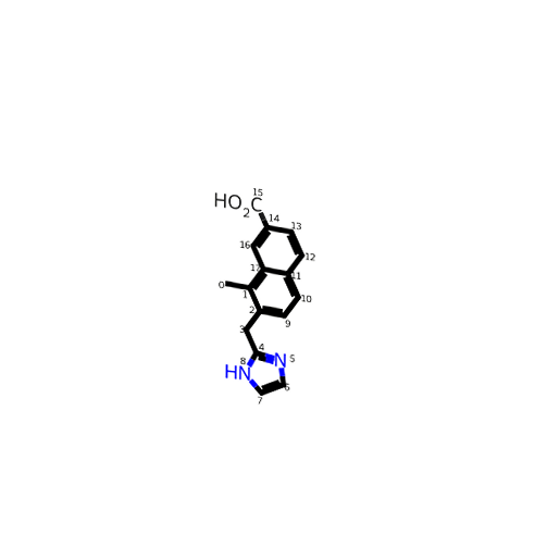 Cc1c(Cc2ncc[nH]2)ccc2ccc(C(=O)O)cc12